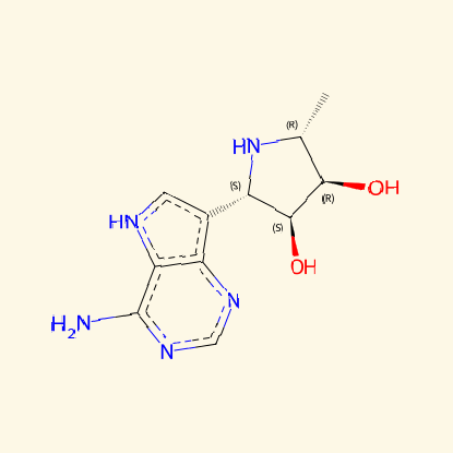 C[C@H]1N[C@@H](c2c[nH]c3c(N)ncnc23)[C@H](O)[C@@H]1O